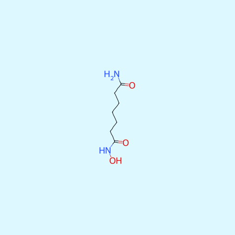 NC(=O)CCCCCC(=O)NO